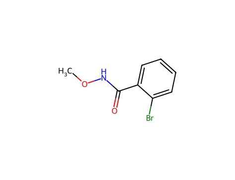 CONC(=O)c1ccccc1Br